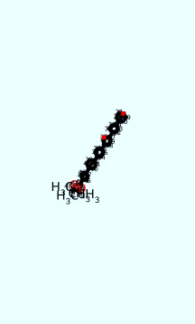 CC1(C)OB(c2ccc(C34CCC(c5ccc(-c6ccc(-c7ccc(C89CCC(CC8)CC9)cc7)cc6)cc5)(CC3)CC4)cc2)OC1(C)C